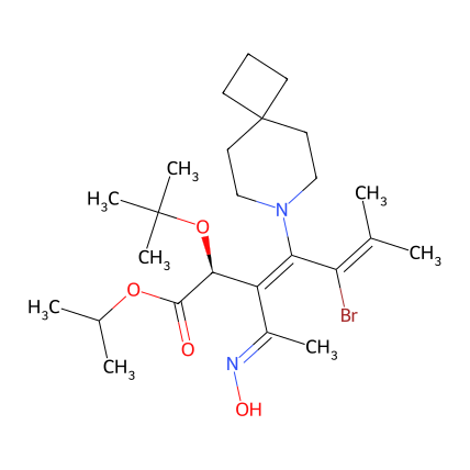 CC(C)=C(Br)/C(=C(\C(C)=N\O)[C@H](OC(C)(C)C)C(=O)OC(C)C)N1CCC2(CCC2)CC1